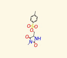 Cc1ccc(S(=O)(=O)OCC2NC(=O)N(C)C2=O)cc1